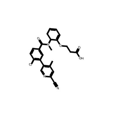 Cc1cc(C#N)ncc1-c1cc(C(=O)N(C)C2CC=CC=C2OCCC(=O)O)ccc1Cl